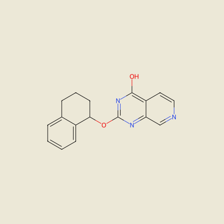 Oc1nc(OC2CCCc3ccccc32)nc2cnccc12